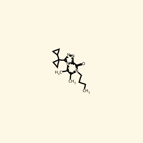 CCCCn1c(C)c(C)n2c(C3(C4CC4)CC3)nnc2c1=O